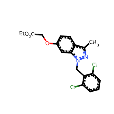 CCOC(=O)COc1ccc2c(C)nn(Cc3c(Cl)cccc3Cl)c2c1